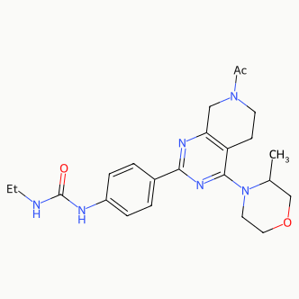 CCNC(=O)Nc1ccc(-c2nc3c(c(N4CCOCC4C)n2)CCN(C(C)=O)C3)cc1